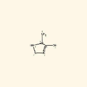 CN1NSN=C1O